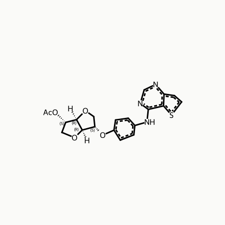 CC(=O)O[C@H]1CO[C@H]2[C@@H]1OC[C@@H]2Oc1ccc(Nc2ncnc3ccsc23)cc1